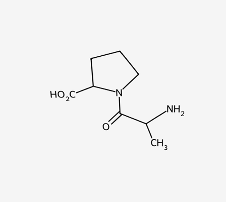 CC(N)C(=O)N1CCCC1C(=O)O